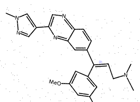 COc1cc(OC)cc(/C(=C\CN(C)C)c2ccc3ncc(-c4cnn(C)c4)nc3c2)c1